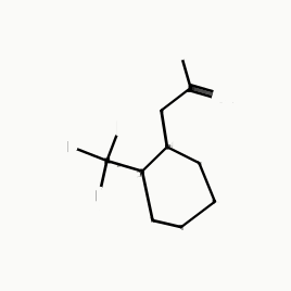 CC(=O)CC1CCCCC1C(F)(F)F